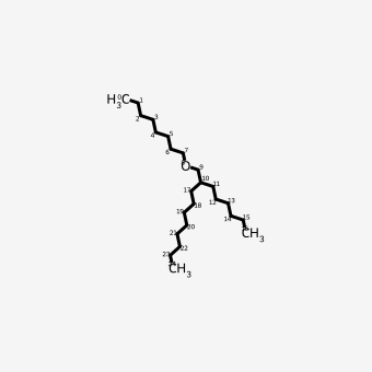 CCCCCCCCOCC(CCCCCC)CCCCCCCC